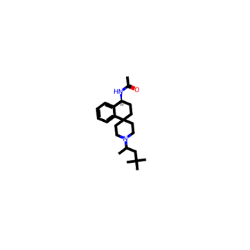 CC(=O)N[C@H]1CCC2(CCN(C(C)CC(C)(C)C)CC2)c2ccccc21